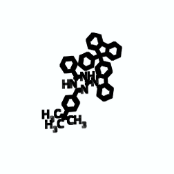 CC(C)(C)c1ccc(/C=N/C(NC(=N)c2ccccc2)n2c3ccccc3c3ccc(C4(C5=CC=CCC5)c5ccccc5-c5ccccc54)cc32)cc1